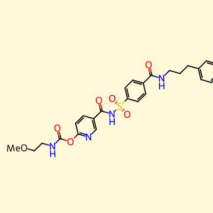 COCCNC(=O)Oc1ccc(C(=O)NS(=O)(=O)c2ccc(C(=O)NCCCc3ccccc3)cc2)cn1